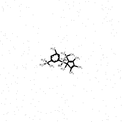 CCC(C)[Si](c1cc(C)cc([Si](C)(C)C)c1)(C(C)CC)C1(C)C(C)=C(C)C(C)=[C]1[Ti]([CH3])([CH3])[CH3]